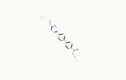 CCCc1cnc(-c2ccc(-c3ccc(C(CCC)C(=O)O)cc3)cc2)nc1